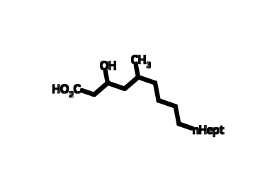 CCCCCCCCCCCC(C)CC(O)CC(=O)O